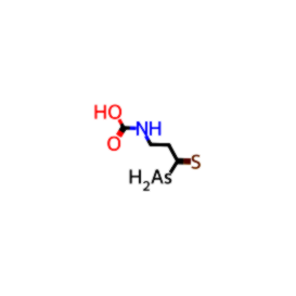 O=C(O)NCCC(=S)[AsH2]